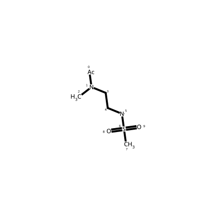 CC(=O)N(C)CC[N]S(C)(=O)=O